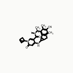 Cc1c(C#N)cccc1[C@H](C)N(I)C(=O)c1cn(C23CC(C2)C3)c(=O)cc1NC1C2CN(C)CC21